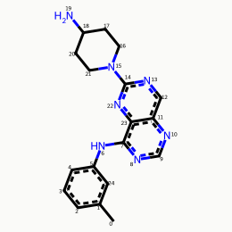 Cc1cccc(Nc2ncnc3cnc(N4CCC(N)CC4)nc23)c1